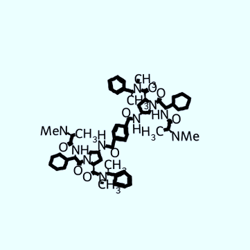 CN[C@@H](C)C(=O)N[C@H](C(=O)N1C[C@@H](NC(=O)c2ccc(C(=O)N[C@H]3C[C@@H](C(=O)N(C)[C@H](C)c4ccccc4)N(C(=O)[C@@H](NC(=O)[C@H](C)NC)C4CCCCC4)C3)cc2)C[C@H]1C(=O)N(C)[C@H](C)c1ccccc1)C1CCCCC1